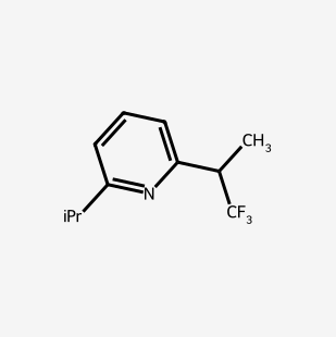 CC(C)c1cccc(C(C)C(F)(F)F)n1